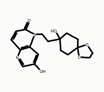 O=c1ccc2ncc(O)cc2n1CCC1(O)CCC2(CC1)OCCO2